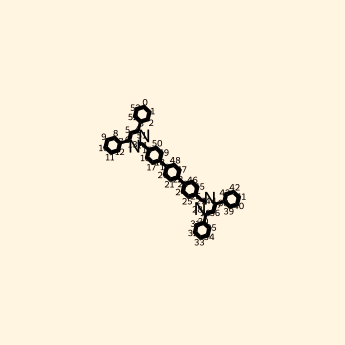 c1ccc(-c2cc(-c3ccccc3)nc(-c3ccc(-c4ccc(-c5ccc(-c6nc(-c7ccccc7)cc(-c7ccccc7)n6)cc5)cc4)cc3)n2)cc1